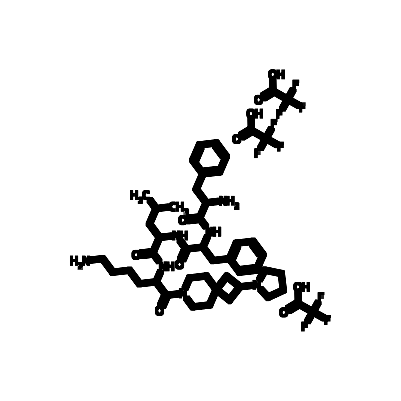 CC(C)CC(NC(=O)C(Cc1ccccc1)NC(=O)C(N)Cc1ccccc1)C(=O)NC(CCCCN)C(=O)N1CCC2(CC1)CC(N1CCCC1)C2.O=C(O)C(F)(F)F.O=C(O)C(F)(F)F.O=C(O)C(F)(F)F